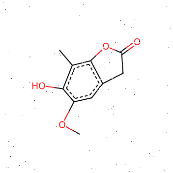 COc1cc2c(c(C)c1O)OC(=O)C2